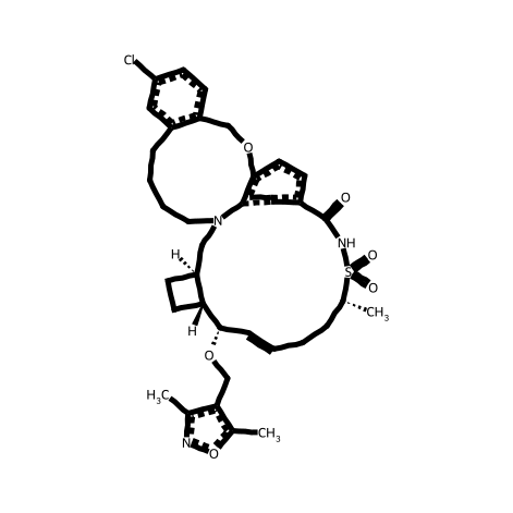 Cc1noc(C)c1CO[C@H]1/C=C/CC[C@@H](C)S(=O)(=O)NC(=O)c2ccc3c(c2)N(CCCCc2cc(Cl)ccc2CO3)C[C@@H]2CC[C@H]21